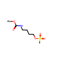 CC(C)(C)OC(=O)NCCCCOS(C)(=O)=O